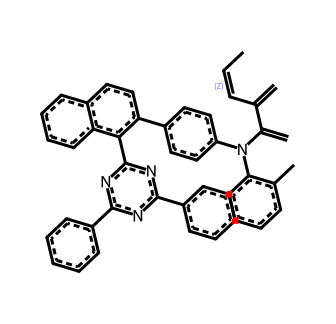 C=C(/C=C\C)C(=C)N(c1ccc(-c2ccc3ccccc3c2-c2nc(-c3ccccc3)nc(-c3ccccc3)n2)cc1)c1ccccc1C